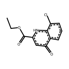 CCOC(=O)c1cc(=O)c2cccc(Cl)c2[nH]1